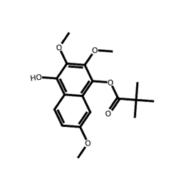 COc1ccc2c(O)c(OC)c(OC)c(OC(=O)C(C)(C)C)c2c1